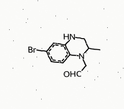 CC1CNc2cc(Br)ccc2N1CC=O